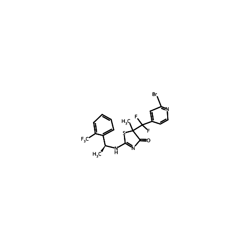 C[C@H](NC1=NC(=O)C(C)(C(F)(F)c2ccnc(Br)c2)S1)c1ccccc1C(F)(F)F